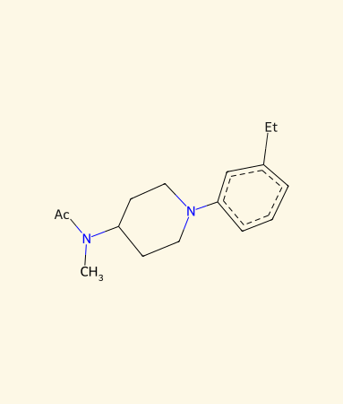 CCc1cccc(N2CCC(N(C)C(C)=O)CC2)c1